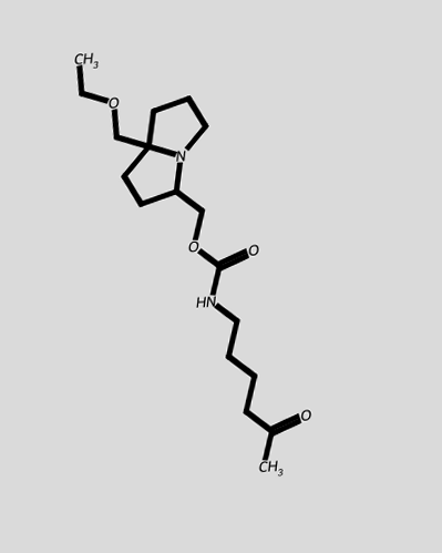 CCOCC12CCCN1C(COC(=O)NCCCCC(C)=O)CC2